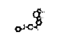 CN(Cc1ccccc1)C1CCN(C(=O)c2ccc3[nH]c4c(c3c2)CCCc2cn[nH]c2-4)CC1